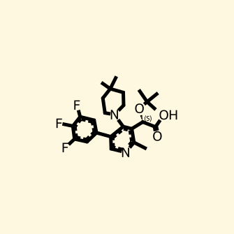 Cc1ncc(-c2cc(F)c(F)c(F)c2)c(N2CCC(C)(C)CC2)c1[C@H](OC(C)(C)C)C(=O)O